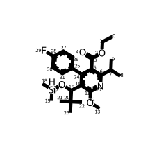 CCOC(=O)c1c(C(C)C)nc(OC)c(C(O[SiH](C)C)C(C)(C)C)c1-c1ccc(F)cc1